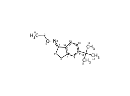 CCO/N=C1\CCc2cc(C(C)(C)C)ccc21